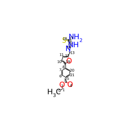 CCOC(=O)c1ccc(-c2ccc(/C=N/NC(N)=S)o2)cc1